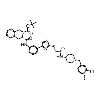 CC(C)(C)OC(=O)N1Cc2ccccc2C[C@H]1C(=O)Nc1cccc(-c2csc(SCC(=O)NC3CCN(Cc4ccc(Cl)c(Cl)c4)CC3)n2)c1